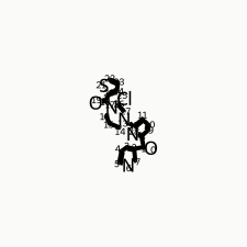 O=C(c1cccnc1)c1cccc(N2CCCN(C(=O)c3sccc3Cl)CC2)n1